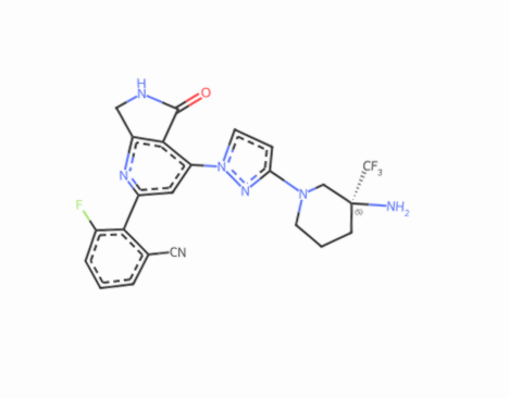 N#Cc1cccc(F)c1-c1cc(-n2ccc(N3CCC[C@@](N)(C(F)(F)F)C3)n2)c2c(n1)CNC2=O